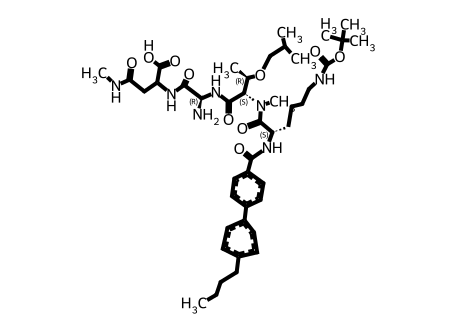 CCCCc1ccc(-c2ccc(C(=O)N[C@@H](CCCCNC(=O)OC(C)(C)C)C(=O)N(C)[C@H](C(=O)N[C@@H](N)C(=O)NC(CC(=O)NC)C(=O)O)[C@@H](C)OCC(C)C)cc2)cc1